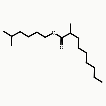 CCCCCCCC(C)C(=O)OCCCCC(C)C